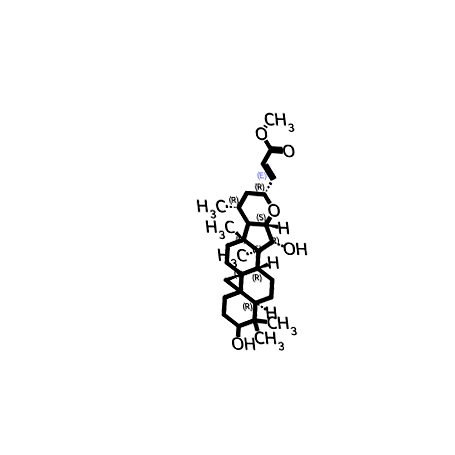 COC(=O)/C=C/[C@H]1C[C@@H](C)C2[C@H](O1)[C@H](O)[C@@]1(C)[C@@H]3CC[C@H]4C(C)(C)C(O)CCC45C[C@@]35CC[C@]21C